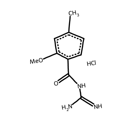 COc1cc(C)ccc1C(=O)NC(=N)N.Cl